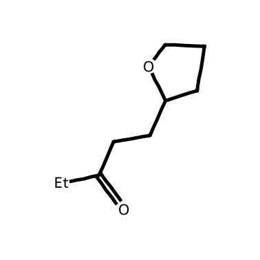 CCC(=O)CCC1CCCO1